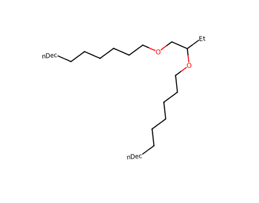 [CH2]CC(COCCCCCCCCCCCCCCCC)OCCCCCCCCCCCCCCCC